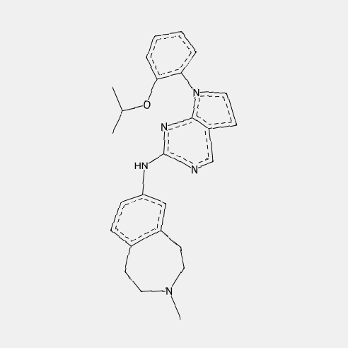 CC(C)Oc1ccccc1-n1ccc2cnc(Nc3ccc4c(c3)CCN(C)CC4)nc21